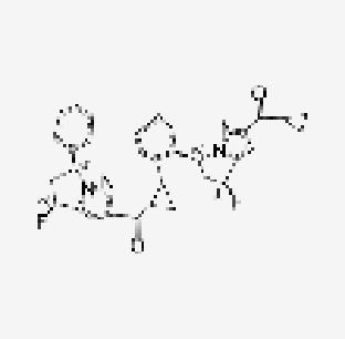 O=C(c1cc2n(n1)[C@H](c1ccccc1C1CC1C(=O)c1cc3n(n1)[C@H](c1ccccc1)C[C@@H]3F)C[C@@H]2F)C1CC1